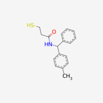 Cc1ccc(C(NC(=O)CCS)c2ccccc2)cc1